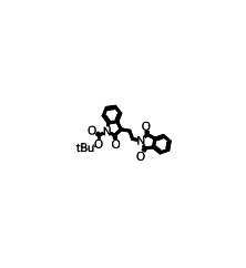 CC(C)(C)OC(=O)N1C(=O)C(CCN2C(=O)c3ccccc3C2=O)c2ccccc21